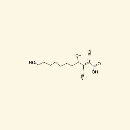 N#CC(C(=O)O)=C(C#N)C(O)CCCCCCCO